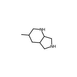 CC1CNC2CNCC2C1